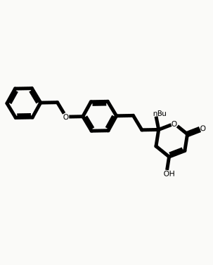 CCCCC1(CCc2ccc(OCc3ccccc3)cc2)CC(O)=CC(=O)O1